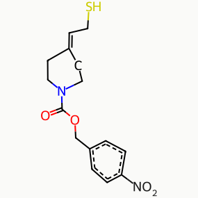 O=C(OCc1ccc([N+](=O)[O-])cc1)N1CCC(=CCS)CC1